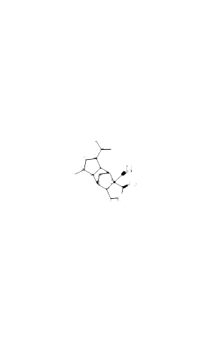 CC(C)C1CC(C)C2C3CC(C12)C1(C#N)C(=O)OCC31